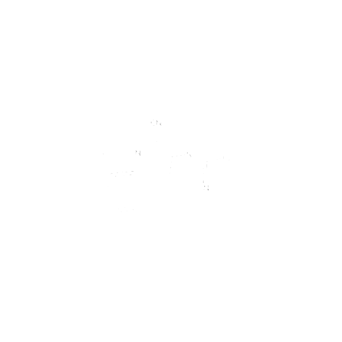 N#CC(c1ccnc(Cl)n1)N1CSc2ccccc21